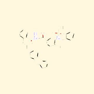 CS(=O)(=O)N(Cc1ccccc1)c1cc(C(=O)CNC(=O)c2ccccc2CCOc2ccc3c(c2)sc2ccccc23)ccc1Br